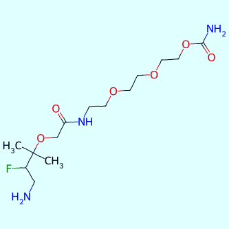 CC(C)(OCC(=O)NCCOCCOCCOC(N)=O)C(F)CN